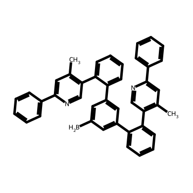 Bc1cc(-c2ccccc2-c2cnc(-c3ccccc3)cc2C)cc(-c2ccccc2-c2cnc(-c3ccccc3)cc2C)c1